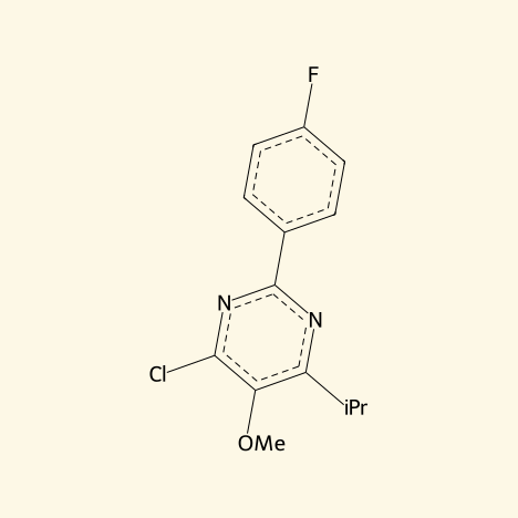 COc1c(Cl)nc(-c2ccc(F)cc2)nc1C(C)C